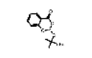 CCCCC(C)(C)OP1OC(=O)c2ccccc2O1